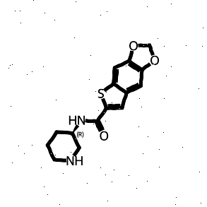 O=C(N[C@@H]1CCCNC1)c1cc2cc3c(cc2s1)OCO3